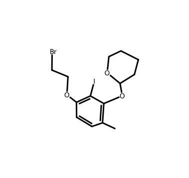 Cc1ccc(OCCBr)c(I)c1OC1CCCCO1